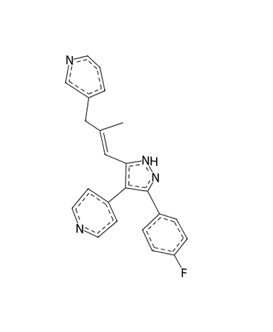 C/C(=C\c1[nH]nc(-c2ccc(F)cc2)c1-c1ccncc1)Cc1cccnc1